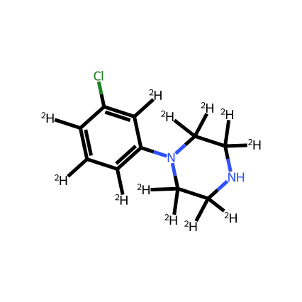 [2H]c1c([2H])c(Cl)c([2H])c(N2C([2H])([2H])C([2H])([2H])NC([2H])([2H])C2([2H])[2H])c1[2H]